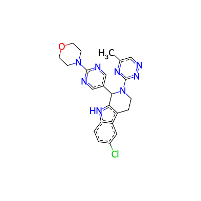 Cc1cnnc(N2CCc3c([nH]c4ccc(Cl)cc34)C2c2cnc(N3CCOCC3)nc2)n1